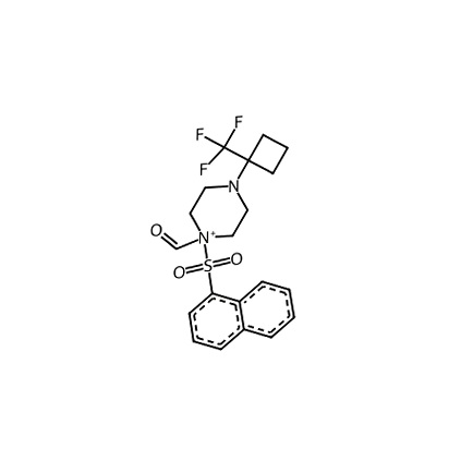 O=C[N+]1(S(=O)(=O)c2cccc3ccccc23)CCN(C2(C(F)(F)F)CCC2)CC1